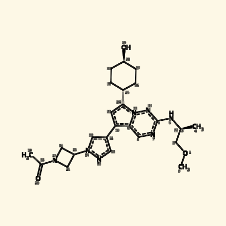 COC[C@H](C)Nc1ncc2c(-c3cnn(C4CN(C(C)=O)C4)c3)cc([C@H]3CC[C@H](O)CC3)n2n1